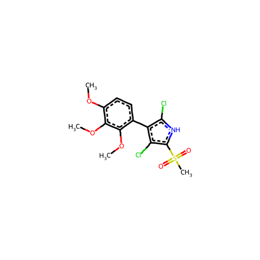 COc1ccc(-c2c(Cl)[nH]c(S(C)(=O)=O)c2Cl)c(OC)c1OC